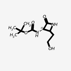 CC(C)(C)OC(=O)N[C@@H]1C(=O)NC1CCO